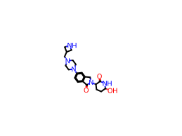 O=C1NC(O)CCC1N1Cc2cc(N3CCN(CC4CNC4)CC3)ccc2C1=O